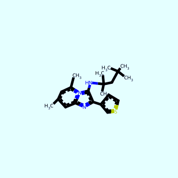 Cc1cc(C)n2c(NC(C)(C)CC(C)(C)C)c(-c3ccsc3)nc2c1